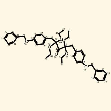 CCOC(Cc1ccc(OCc2ccccc2)cc1)(OCC)C(=O)C(Cc1ccc(OCc2ccccc2)cc1)(OCC)OCC